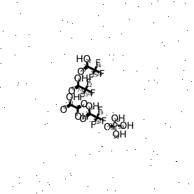 O=C(O)C(=O)O.O=C(O)C(F)(F)F.O=C(O)C(F)(F)F.O=C(O)C(F)(F)F.O=P(O)(O)O